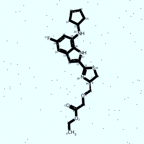 CCOC(=O)COC[C@@H]1CSC(c2cc3cc(F)cc(NC4CCCC4)c3[nH]2)=N1